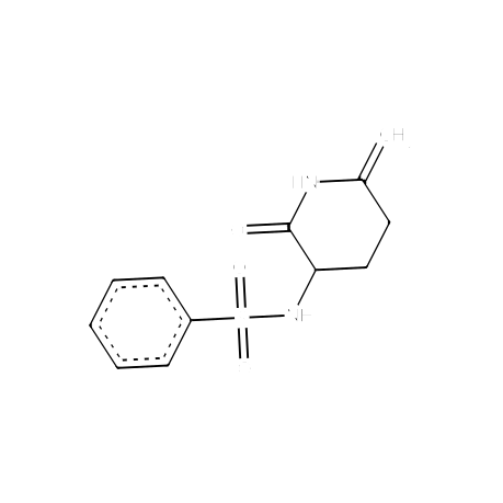 C=C1CCC(NS(=O)(=O)c2ccccc2)C(=O)N1